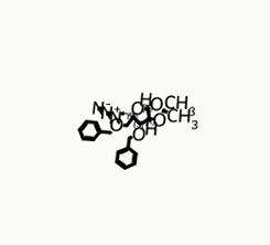 CC1(C)O[C@H]2O[C@](CN=[N+]=[N-])(COCc3ccccc3)[C@@H](OCc3ccccc3)[C@H]2O1